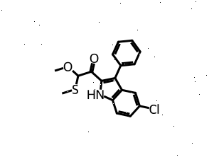 COC(SC)C(=O)c1[nH]c2ccc(Cl)cc2c1-c1ccccc1